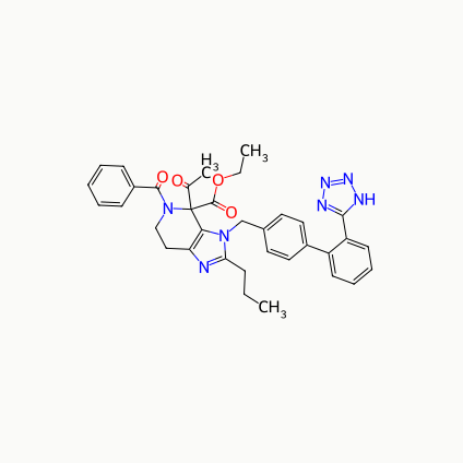 CCCc1nc2c(n1Cc1ccc(-c3ccccc3-c3nnn[nH]3)cc1)C(C(C)=O)(C(=O)OCC)N(C(=O)c1ccccc1)CC2